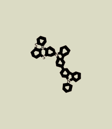 c1ccc(-n2c3ccccc3c3cc(-c4ccc5c(c4)c4ccccc4n5-c4ccc5c(c4)Sc4cccc6c4B5c4ccccc4S6)ccc32)cc1